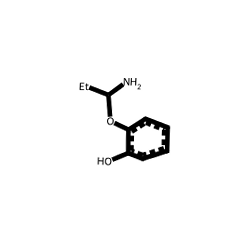 CCC(N)Oc1ccccc1O